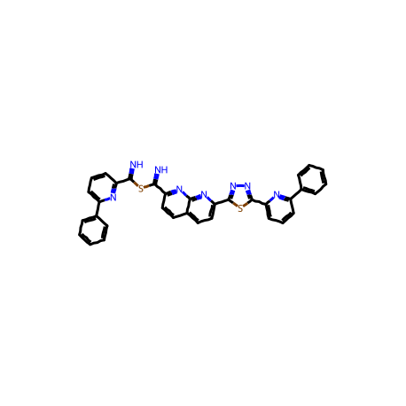 N=C(SC(=N)c1ccc2ccc(-c3nnc(-c4cccc(-c5ccccc5)n4)s3)nc2n1)c1cccc(-c2ccccc2)n1